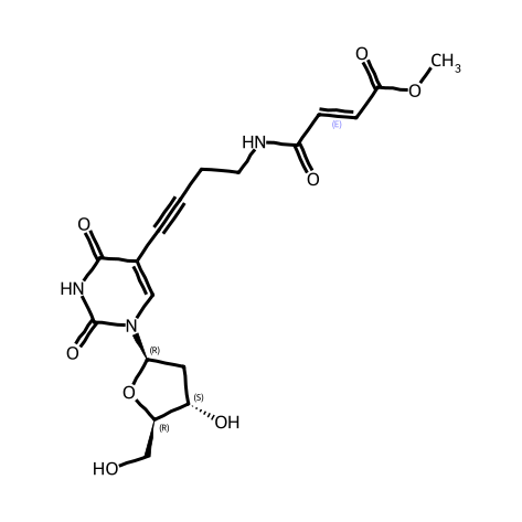 COC(=O)/C=C/C(=O)NCCC#Cc1cn([C@H]2C[C@H](O)[C@@H](CO)O2)c(=O)[nH]c1=O